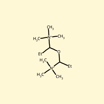 CCC(OC(CC)[N+](C)(C)C)[N+](C)(C)C